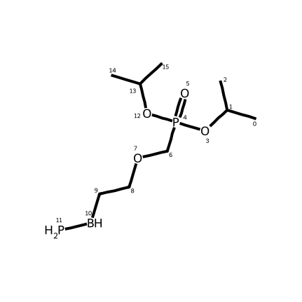 CC(C)OP(=O)(COCCBP)OC(C)C